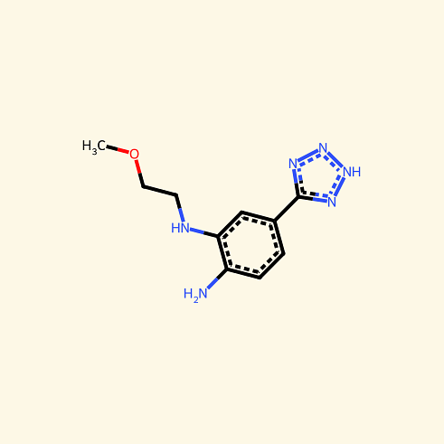 COCCNc1cc(-c2nn[nH]n2)ccc1N